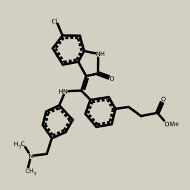 COC(=O)CCc1cccc(C(Nc2ccc(CN(C)C)cc2)=C2C(=O)Nc3cc(Cl)ccc32)c1